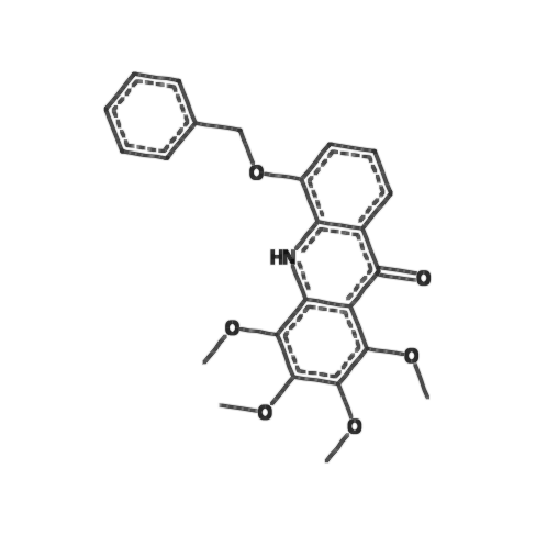 COc1c(OC)c(OC)c2c(=O)c3cccc(OCc4ccccc4)c3[nH]c2c1OC